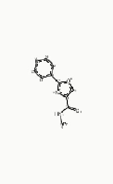 CCCNC(=O)c1coc(-c2ccncc2)n1